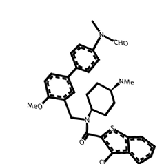 CN[C@H]1CC[C@@H](N(Cc2cc(-c3ccc(N(C)C=O)cc3)ccc2OC)C(=O)c2sc3ccccc3c2Cl)CC1